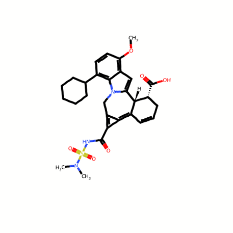 COc1ccc(C2CCCCC2)c2c1cc1n2CC2=C(C(=O)NS(=O)(=O)N(C)C)C2=C2C=CC[C@@H](C(=O)O)[C@H]21